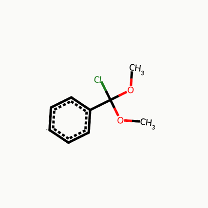 COC(Cl)(OC)c1cc[c]cc1